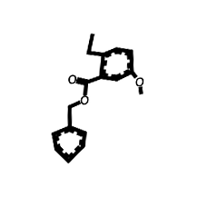 CCc1ccc(OC)cc1C(=O)OCc1ccccc1